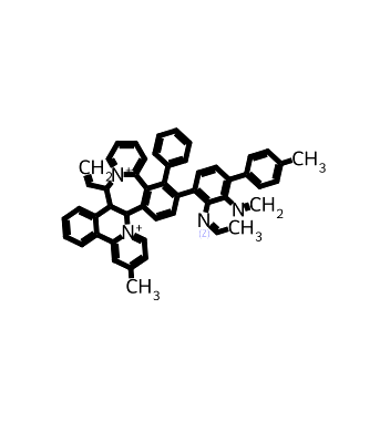 C=CC1C2c3ccccc3-c3cc(C)cc[n+]3C2c2ccc(-c3ccc(-c4ccc(C)cc4)c(N=C)c3/N=C\C)c(-c3ccccc3)c2-c2cccc[n+]21